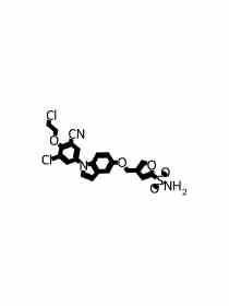 N#Cc1cc(-n2ccc3cc(OCc4coc(S(N)(=O)=O)c4)ccc32)cc(Cl)c1OCCCl